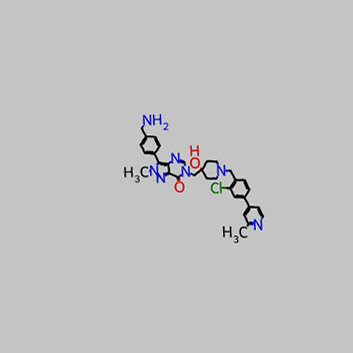 Cc1cc(-c2ccc(CN3CCC(O)(Cn4cnc5c(-c6ccc(CN)cc6)n(C)nc5c4=O)CC3)c(Cl)c2)ccn1